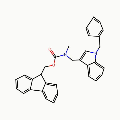 CN(Cc1cn(Cc2ccccc2)c2ccccc12)C(=O)OCC1c2ccccc2-c2ccccc21